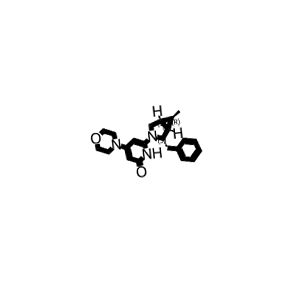 C[C@@H]1[C@@H]2CN(c3cc(N4CCOCC4)cc(=O)[nH]3)[C@@H](Cc3ccccc3)[C@H]12